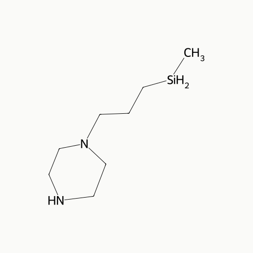 C[SiH2]CCCN1CCNCC1